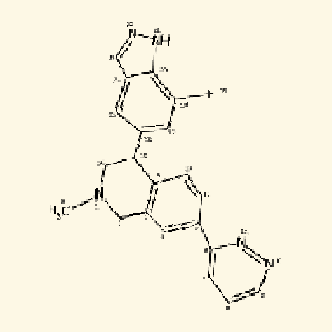 CN1Cc2cc(-c3cccnn3)ccc2C(c2cc(F)c3[nH]ncc3c2)C1